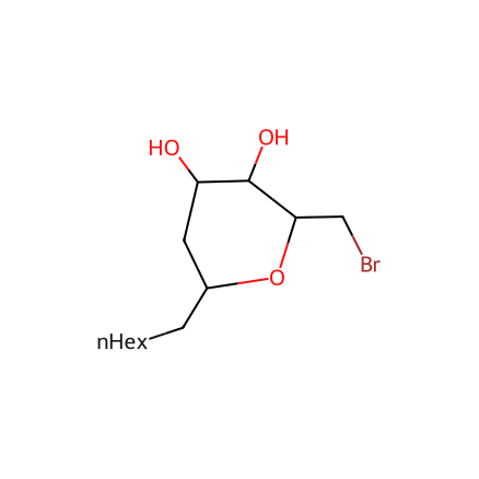 CCCCCCCC1CC(O)C(O)C(CBr)O1